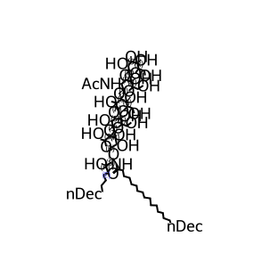 CCCCCCCCCCCCC/C=C/[C@@H](O)[C@H](CO[C@@H]1OC(CO)[C@@H](O[C@@H]2OC(CO)[C@H](O)[C@H](O[C@H]3OC(CO)[C@H](O)[C@H](O[C@@H]4OC(CO)[C@H](O)[C@H](O[C@@H]5OC(CO)[C@H](O)[C@H](O)C5O)C4NC(C)=O)C3O)C2O)[C@H](O)C1O)NC(=O)CCCCCCCCCCCCCCCCCCCCCCCCC